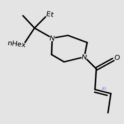 C/C=C/C(=O)N1CCN(C(C)(CC)CCCCCC)CC1